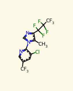 Cc1c(C(F)(F)C(F)(F)C(F)(F)F)ncn1-c1ncc(C(F)(F)F)cc1Cl